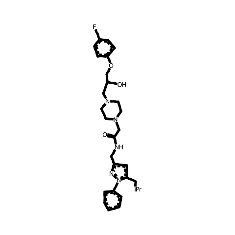 CC(C)Cc1cc(CNC(=O)CN2CCN(CC(O)COc3ccc(F)cc3)CC2)nn1-c1ccccc1